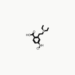 CCN(CC)CCc1cc(NCl)ccc1C(=O)O